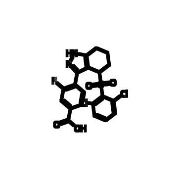 O=C(O)c1ccc(-c2n[nH]c3c2C(S(=O)(=O)c2c(Cl)cccc2Cl)CCC3)c(F)c1